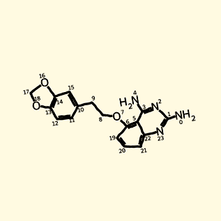 Nc1nc(N)c2c(OCCc3ccc4c(c3)OCO4)cccc2n1